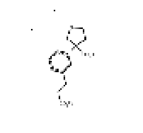 CCOC(=O)CCc1cccc(C2(C(=O)O)CCOC2)c1